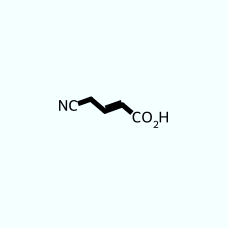 N#CCC=CC(=O)O